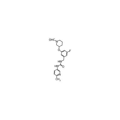 Cc1ccc(NC(=O)NCc2cc(F)cc(OC3CCCN(C=O)C3)c2)cn1